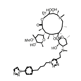 CC[C@H]1OC(=O)[C@H](C)[C@@H](C2C[C@@](C)(OC)[C@@H](O)[C@H](C)O2)[C@H](C)[C@@H](O[C@@H]2O[C@H](C)C[C@H](N(C)CCc3cn(CCCCc4ccc(-n5ccnn5)cc4)nn3)[C@H]2O)[C@](C)(O)C[C@@H](C)CN(C)[C@H](C)[C@@H](O)[C@]1(C)O